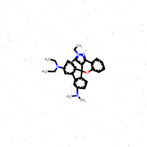 CCN(CC)c1ccc2c(c1)-c1cc(N(C)C)ccc1C21Oc2ccccc2-c2nn(CC)c(C)c21